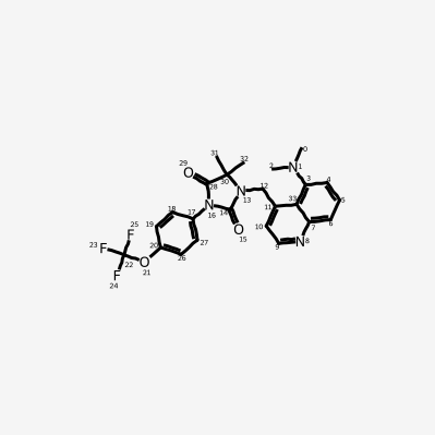 CN(C)c1cccc2nccc(CN3C(=O)N(c4ccc(OC(F)(F)F)cc4)C(=O)C3(C)C)c12